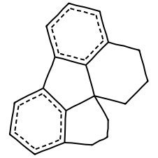 c1cc2c3c(c1)-c1cccc4c1C3(CCC2)CCC4